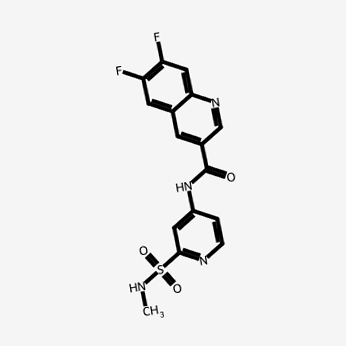 CNS(=O)(=O)c1cc(NC(=O)c2cnc3cc(F)c(F)cc3c2)ccn1